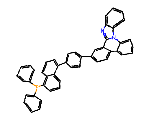 c1ccc(P(c2ccccc2)c2cccc3c(-c4ccc(-c5ccc6c7ccccc7n7c8ccccc8nc7c6c5)cc4)cccc23)cc1